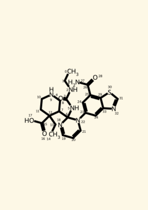 CCNC(=O)NC1(C2CNCCC2(CC)C(=O)O)N=CC=CN1c1cc(C(N)=O)c2scnc2c1